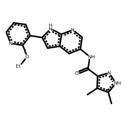 CCOc1ncccc1-c1cc2cc(NC(=O)c3n[nH]c(C)c3C)cnc2[nH]1